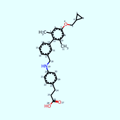 Cc1cc(OCC2CC2)cc(C)c1-c1cccc(CNc2ccc(CCC(=O)O)cc2)c1